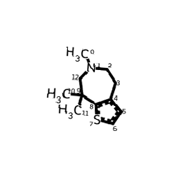 CN1CCc2ccsc2C(C)(C)C1